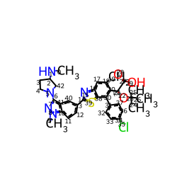 CNC1CCN(c2nn(C)c3ccc(-c4nc5cc(C)c([C@H](OC(C)(C)C)C(=O)O)c(-c6ccc(Cl)cc6)c5s4)cc23)C1